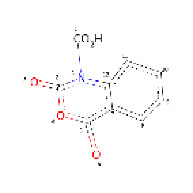 O=C(O)n1c(=O)oc(=O)c2ccccc21